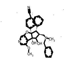 COc1cncc2c1[C@]1(O)C(O)[C@H](CN(C)Cc3ccccc3)[C@@H](c3ccccc3)[C@]1(c1ccc(C#N)cc1)O2